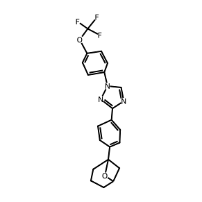 FC(F)(F)Oc1ccc(-n2cnc(-c3ccc(C45CCCC(C4)O5)cc3)n2)cc1